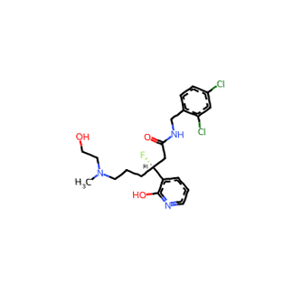 CN(CCO)CCC[C@@](F)(CC(=O)NCc1ccc(Cl)cc1Cl)c1cccnc1O